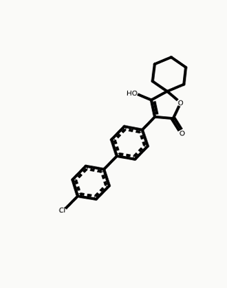 O=C1OC2(CCCCC2)C(O)=C1c1ccc(-c2ccc(Cl)cc2)cc1